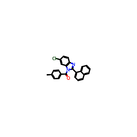 Cc1ccc(C(=O)n2c(-c3cccc4ccccc34)nc3ccc(Cl)cc32)cc1